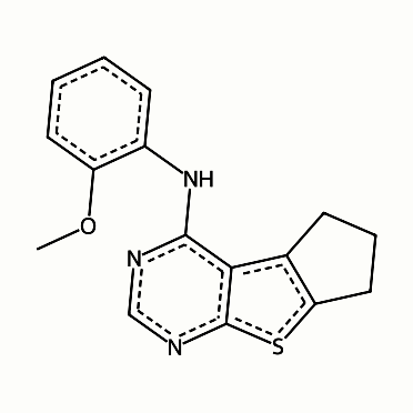 COc1ccccc1Nc1ncnc2sc3c(c12)CCC3